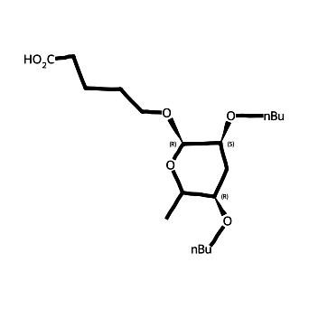 CCCCO[C@H]1C[C@@H](OCCCC)C(C)O[C@H]1OCCCCC(=O)O